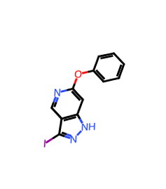 Ic1n[nH]c2cc(Oc3ccccc3)ncc12